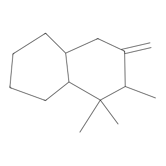 C=C1CC2CCCCC2C(C)(C)C1C